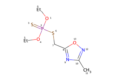 CCOP(=S)(OCC)SCc1nc(C)no1